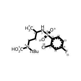 CC(CCN(C(=O)O)C(C)(C)C)NS(=O)(=O)c1ccc(F)cc1Cl